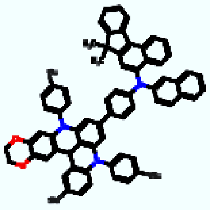 CC(C)(C)c1ccc(N2c3ccc(C(C)(C)C)cc3B3c4cc5c(cc4N(c4ccc(C(C)(C)C)cc4)c4cc(-c6ccc(N(c7ccc8ccccc8c7)c7cc8c(c9ccccc79)-c7ccccc7C8(C)C)cc6)cc2c43)OCCO5)cc1